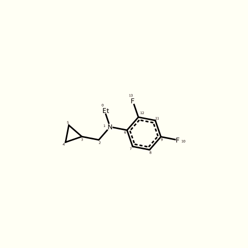 CCN(CC1CC1)c1ccc(F)cc1F